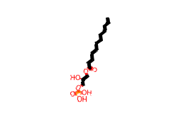 CCCCCCCCCCCC(=O)OC[C@@H](O)COP(=O)(O)O